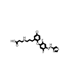 O=C(O)CCNCCCc1cc(Cl)ccc1Oc1cc(F)c(SNc2cscn2)cc1F